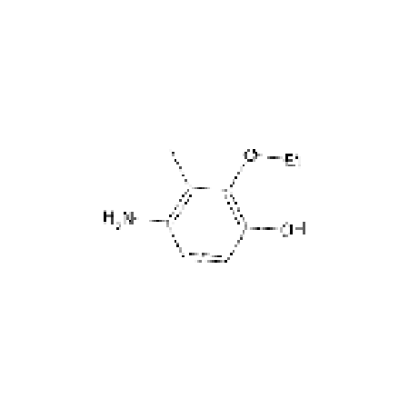 CCOc1c(O)ccc(N)c1C